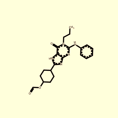 CCCn1c(Nc2ccccc2)nc2nc(C3CCC(OC=O)CC3)[nH]c2c1=O